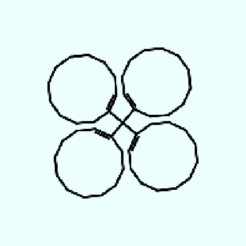 C1=C(C(C2=CCCCCCCCCCC2)(C2=CCCCCCCCCCC2)C2=CCCCCCCCCCC2)CCCCCCCCCC1